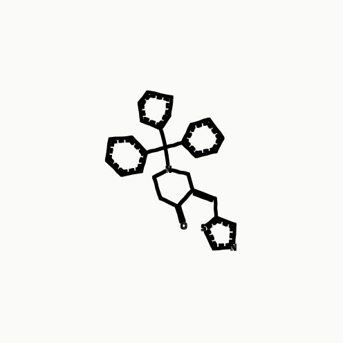 O=C1CCN(C(c2ccccc2)(c2ccccc2)c2ccccc2)CC1=Cc1cncs1